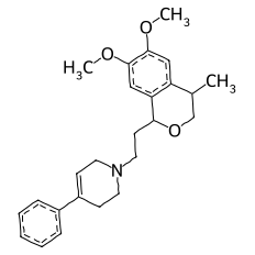 COc1cc2c(cc1OC)C(CCN1CC=C(c3ccccc3)CC1)OCC2C